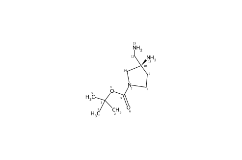 CC(C)(C)OC(=O)N1CC[C@@](N)(CN)C1